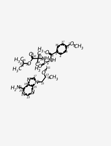 COc1ccc(C(=O)N[P@](=O)(CO[C@H](C)Cn2cnc3c(N)ncnc32)NC(C)(C)C(=O)OC(C)C)cc1